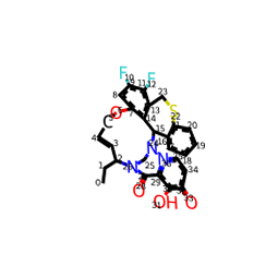 CCC1/C=C/COc2cc(F)c(F)c3c2C(c2ccccc2SC3)N2CN1C(=O)c1c(O)c(=O)ccn12